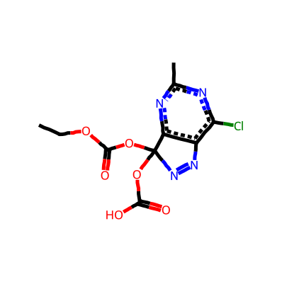 CCOC(=O)OC1(OC(=O)O)N=Nc2c(Cl)nc(C)nc21